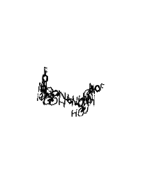 O=C(O)c1cc(CNC2CC(CNc3ccc(NS(=O)(=O)c4cnn(-c5ccc(F)cc5)c4)c(C(=O)O)c3)C2)ccc1NS(=O)(=O)c1cnn(-c2ccc(F)cc2)c1